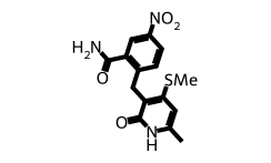 CSc1cc(C)[nH]c(=O)c1Cc1ccc([N+](=O)[O-])cc1C(N)=O